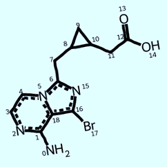 Nc1nccn2c(CC3CC3CC(=O)O)nc(Br)c12